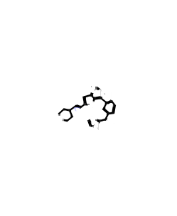 OC(c1ccc(F)c(-c2ncnc3cc(/C=C/C4CCOCC4)sc23)c1)c1nccs1